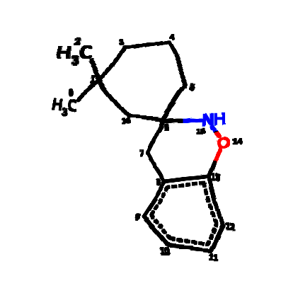 CC1(C)CCCC2(Cc3ccccc3ON2)C1